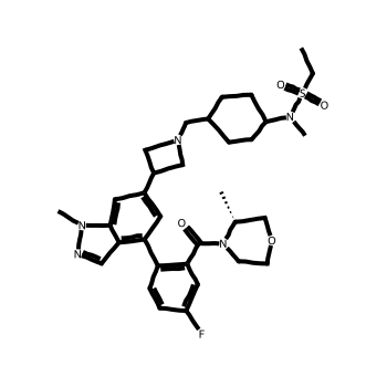 CCS(=O)(=O)N(C)C1CCC(CN2CC(c3cc(-c4ccc(F)cc4C(=O)N4CCOC[C@H]4C)c4cnn(C)c4c3)C2)CC1